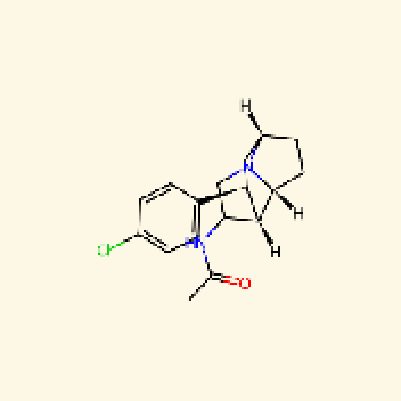 CC(=O)NC1CN2[C@H]3CC[C@@H]2[C@H]1[C@@H](c1ccc(Cl)cc1)C3